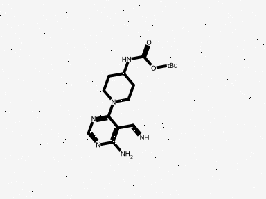 CC(C)(C)OC(=O)NC1CCN(c2ncnc(N)c2C=N)CC1